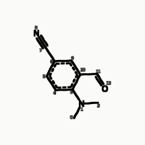 CN(C)c1ccc(C#N)cc1C=O